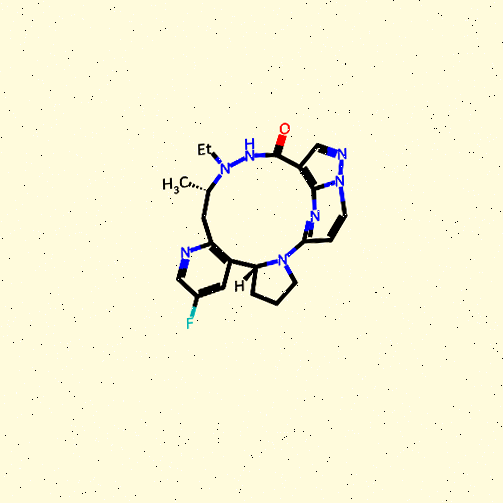 CCN1NC(=O)c2cnn3ccc(nc23)N2CCC[C@@H]2c2cc(F)cnc2C[C@@H]1C